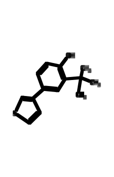 CC(C)(C)c1cc(-c2ccsc2)ccc1O